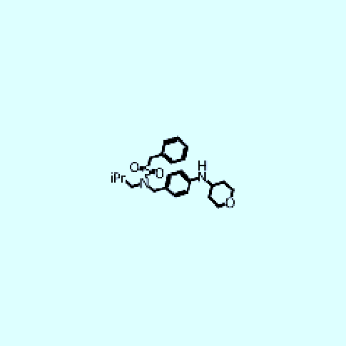 CC(C)CN(Cc1ccc(NC2CCOCC2)cc1)S(=O)(=O)Cc1ccccc1